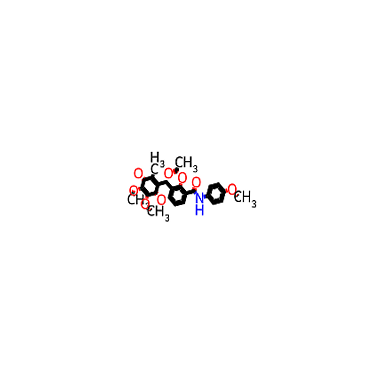 COC1=C(OC)C(=O)C(Cc2cccc(C(=O)Nc3ccc(OC)cc3)c2OC(C)=O)=C(C)C1=O